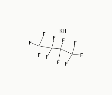 FC(F)(F)C(F)(F)C(F)(F)C(F)(F)F.[KH]